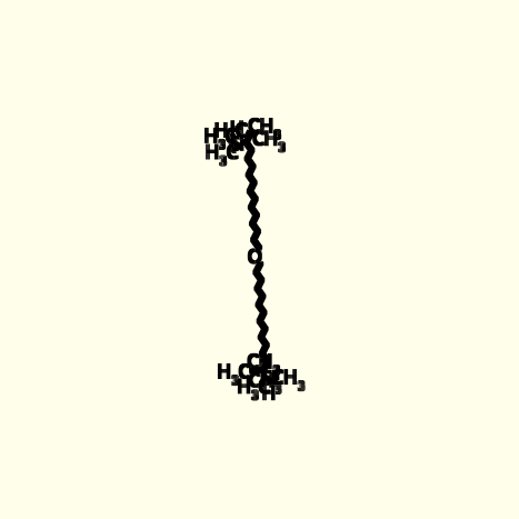 C[SiH](C)C(CCCCCCCCCCCCCOCCCCCCCCCCCCCC([SiH](C)C)C(C)(C)C)C(C)(C)C